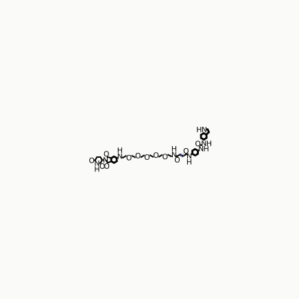 O=C(/C=C/C(=O)Nc1ccc(NC(=O)Nc2ccc3[nH]ccc3c2)cc1)NCCOCCOCCOCCOCCOCCNc1ccc2c(c1)C(=O)N(C1CCC(=O)NC1=O)C2=O